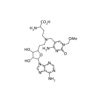 COCn1cc(CN(CCC(N)C(=O)O)CCC2OC(n3cnc4c(N)ncnc43)C(O)C2O)c(N)nc1=O